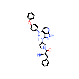 N#C/C(=C\c1ccccc1)C(=O)N1CC[C@@H](Nc2n[nH]c3nccc(Nc4ccc(Oc5ccccc5)cc4)c23)C1